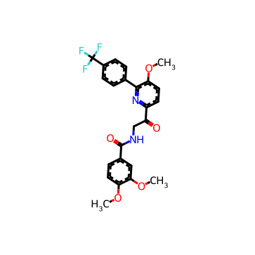 COc1ccc(C(=O)NCC(=O)c2ccc(OC)c(-c3ccc(C(F)(F)F)cc3)n2)cc1OC